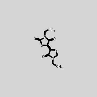 CCN1CS/C(=C2/SC(=S)N(CC)C2=O)C1=O